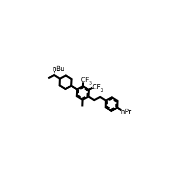 CCCC[C@@H](C)C1CCC(c2cc(C)c(CCc3ccc(CCC)cc3)c(C(F)(F)F)c2C(F)(F)F)CC1